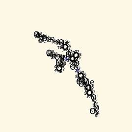 C=CC(=O)OCCCOc1ccc2cc(C(=O)Oc3ccc(/C=C/C(=O)Oc4cc(/C=N/N(COCC5(C)COC5)c5nc6ccccc6s5)c(OCc5cc(C)c(OCCCCCCOCC6(CC)COC6)c(C)c5)c5ccccc45)cc3OC)ccc2c1